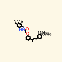 CNCc1ccc(CNC(=O)COc2cccc(C(C)CCc3ccc(OC)c(OC)c3)c2)cc1